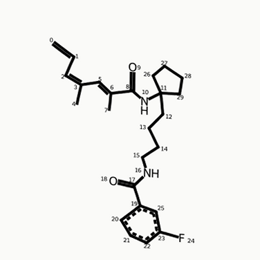 C=C/C=C(C)\C=C(/C)C(=O)NC1(CCCCNC(=O)c2cccc(F)c2)CCCC1